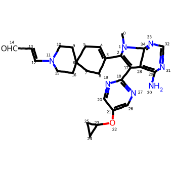 Cn1c(C2=CCC3(CC2)CCN(C=CC=O)CC3)c(-c2ncc(OC3CC3)cn2)c2c(N)ncnc21